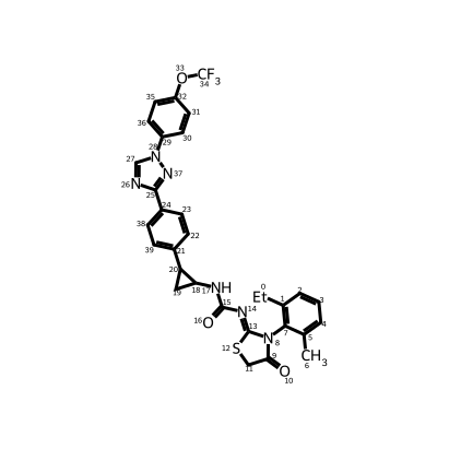 CCc1cccc(C)c1N1C(=O)CSC1=NC(=O)NC1CC1c1ccc(-c2ncn(-c3ccc(OC(F)(F)F)cc3)n2)cc1